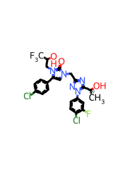 C[C@H](O)c1nc(Cn2cc(-c3ccc(Cl)cc3)n(CC(O)C(F)(F)F)c2=O)nn1-c1ccc(Cl)c(F)c1